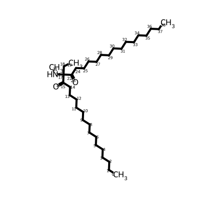 CCCCCCCCCCCCCCCC(=O)C(CC)(NC)C(=O)CCCCCCCCCCCCCCC